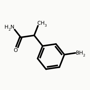 Bc1cccc(C(C)C(N)=O)c1